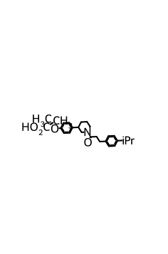 CC(C)c1ccc(CCC(=O)N2CCCC(c3ccc(OC(C)(C)C(=O)O)cc3)C2)cc1